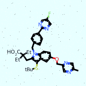 CCC(CC)(Cc1c(SC(C)(C)C)c2cc(OCc3cnc(C)cn3)ccc2n1Cc1ccc(-c2ncc(F)cn2)cc1)C(=O)O